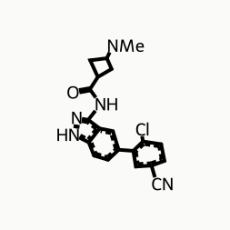 CNC1CC(C(=O)Nc2n[nH]c3ccc(-c4cc(C#N)ccc4Cl)cc23)C1